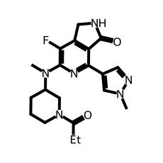 CCC(=O)N1CCCC(N(C)c2nc(-c3cnn(C)c3)c3c(c2F)CNC3=O)C1